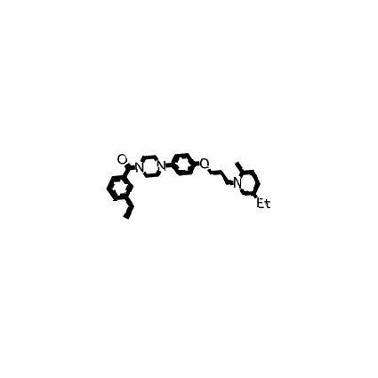 C=Cc1cccc(C(=O)N2CCN(c3ccc(OCCCN4CC(CC)CCC4C)cc3)CC2)c1